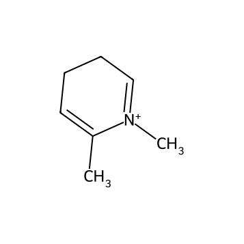 CC1=CCCC=[N+]1C